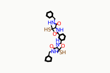 CC(C)(S)C(NC(=O)c1cccc(C(=O)NC(C(=O)NCc2ccccc2)C(C)(C)S)c1)C(=O)NCc1ccccc1